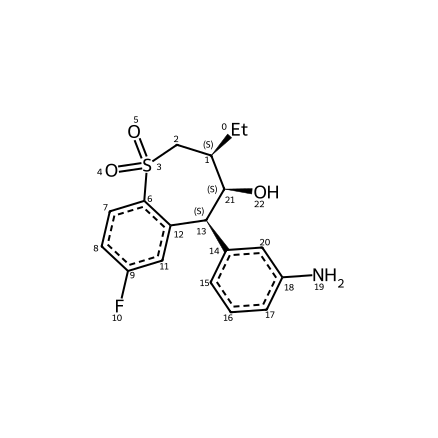 CC[C@@H]1CS(=O)(=O)c2ccc(F)cc2[C@H](c2cccc(N)c2)[C@@H]1O